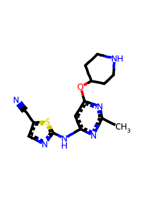 Cc1nc(Nc2ncc(C#N)s2)cc(OC2CCNCC2)n1